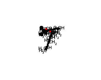 C=C(N)CC(NC(=C)CNC(=O)CNC(=C)CCCCCNC(=C)CC)C(=O)NC(CCN(C(C)=O)C(c1cc(-c2ccccc2F)cn1Cc1ccccc1)C(C)(C)CC)C(=O)NCCC(=O)NCC(=O)O